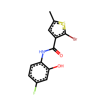 Cc1cc(C(=O)Nc2ccc(F)cc2O)c(Br)s1